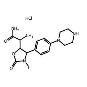 CC(C(N)=O)C1OC(=O)N(F)C1c1ccc(N2CCNCC2)cc1.Cl